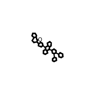 c1ccc(-c2ccc(-c3c4ccccc4c(-c4ccc5c(c4)oc4c6ccccc6ccc54)c4ccccc34)cc2-c2ccccc2)cc1